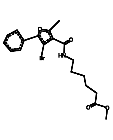 COC(=O)CCCCCNC(=O)c1c(C)oc(-c2ccccc2)c1Br